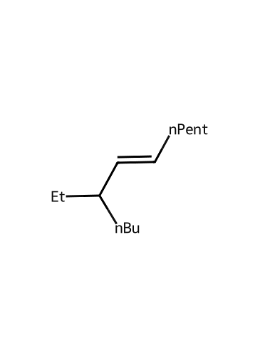 [CH2]CCCC/C=C/C(CC)CCC[CH2]